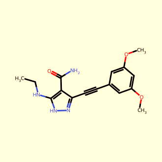 CCNc1[nH]nc(C#Cc2cc(OC)cc(OC)c2)c1C(N)=O